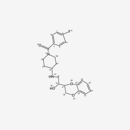 O=C(c1ccc(F)cc1)N1CCC(NCC(O)C2COc3ccccc3O2)CC1